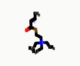 C/C=C/C(=O)SCC[N+](CC)(CC)CC